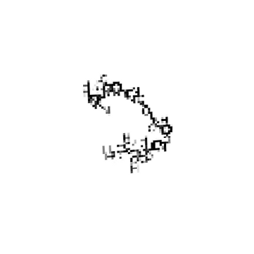 CC(C)(C)CC[C@H](NC(=O)c1ccc(Oc2cccc(C(=O)NCCOCCOc3ncc(-c4ccc5c(n4)N(Cc4cccnc4C#N)C(C)(C)C5=O)cn3)c2)nc1)C(=O)O